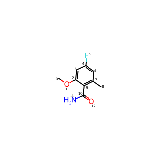 COc1cc(F)cc(C)c1C(N)=O